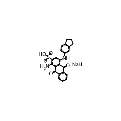 Nc1c(S(=O)(=O)O)cc(Nc2ccc3c(c2)CCC3)c2c1C(=O)c1ccccc1C2=O.[NaH]